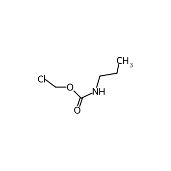 CCCNC(=O)OCCl